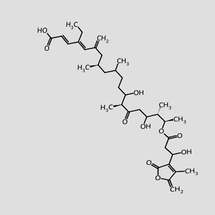 C=C(/C=C(/C=C/C(=O)O)CC)C[C@H](C)CC(C)CCC(O)[C@H](C)C(=O)CC(O)[C@H](C)[C@@H](C)OC(=O)CC(O)C1=C(C)C(=C)OC1=O